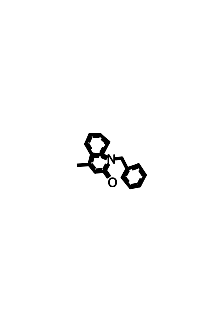 Cc1cc(=O)n(Cc2ccccc2)c2ccccc12